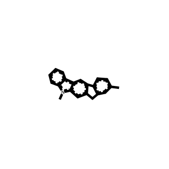 Cc1ccc2c(c1)Cc1cc3c(cc1-2)c1ccccc1n3C